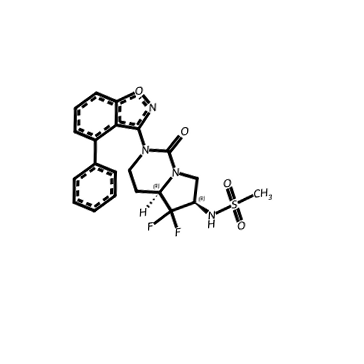 CS(=O)(=O)N[C@@H]1CN2C(=O)N(c3noc4cccc(-c5ccccc5)c34)CC[C@@H]2C1(F)F